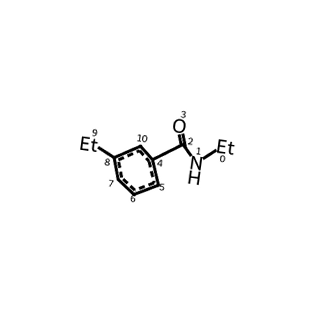 CCNC(=O)c1cccc(CC)c1